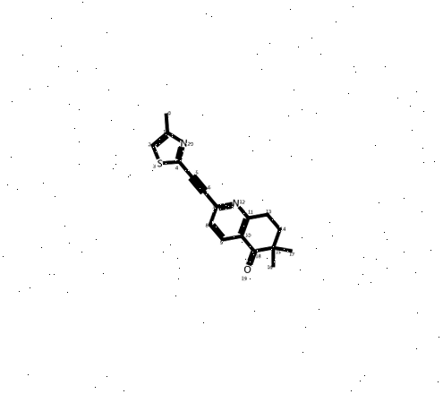 Cc1csc(C#Cc2ccc3c(n2)CCC(C)(C)C3=O)n1